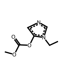 CCn1cncc1OC(=O)OC